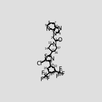 O=C(Cn1cnc2cccnc21)N1CCC(c2nc(-c3cc(C(F)(F)F)cc(C(F)(F)F)c3)c(Cl)s2)CC1